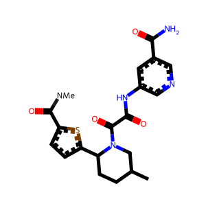 CNC(=O)c1ccc(C2CCC(C)CN2C(=O)C(=O)Nc2cncc(C(N)=O)c2)s1